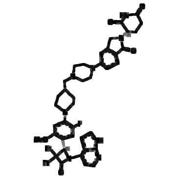 CCC1(CC)C(=O)N(c2ccnc3[nH]ccc23)[C@H]1c1cc(F)c(N2CCC(CN3CCN(c4ccc5c(c4)CN([C@H]4CCC(=O)NC4=O)C5=O)CC3)CC2)cc1OC